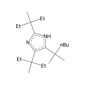 CCCCC(C)(C)c1[nH]c(C(C)(CC)CC)nc1C(C)(CC)CC